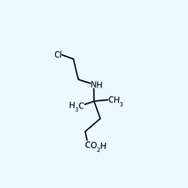 CC(C)(CCC(=O)O)NCCCl